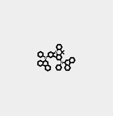 CC1(C)c2ccccc2-n2c3ccc(N(c4ccccc4)c4cc5ccccc5c5ccccc45)cc3c3cc(N(c4ccccc4)c4cc5ccccc5c5ccccc45)cc1c32